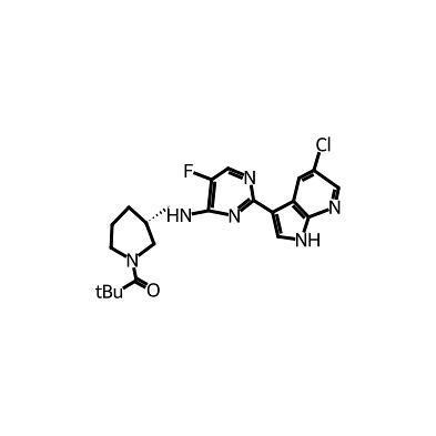 CC(C)(C)C(=O)N1CCC[C@H](CNc2nc(-c3c[nH]c4ncc(Cl)cc34)ncc2F)C1